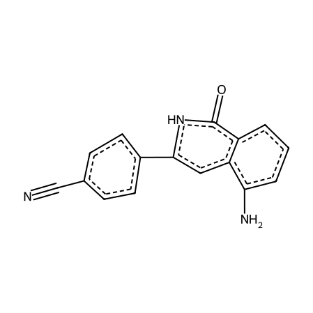 N#Cc1ccc(-c2cc3c(N)cccc3c(=O)[nH]2)cc1